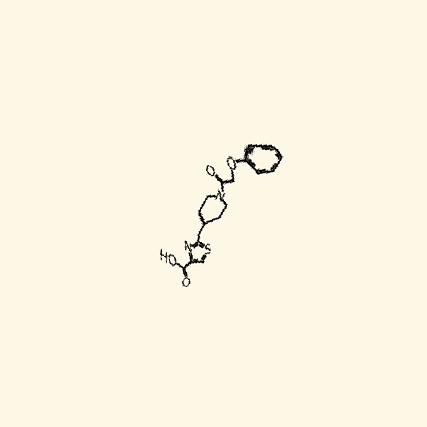 O=C(O)c1csc(C2CCN(C(=O)COc3ccccc3)CC2)n1